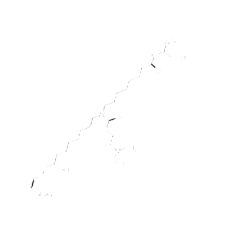 CCCCCC/C=C\COC(O)CCCCCCCN(CCCCCCCC(=O)OC(CCCCCCCC)CCCCCCCC)C(=O)SCCN(C)C